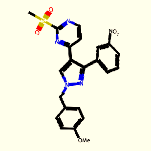 COc1ccc(Cn2cc(-c3ccnc(S(C)(=O)=O)n3)c(-c3cccc([N+](=O)[O-])c3)n2)cc1